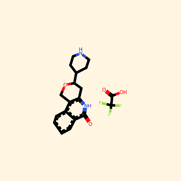 O=C(O)C(F)(F)F.O=c1[nH]c2c(c3ccccc13)COC(C1CCNCC1)C2